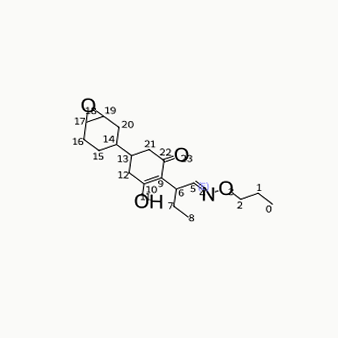 CCCO/N=C/C(CC)C1=C(O)CC(C2CCC3OC3C2)CC1=O